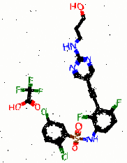 O=C(O)C(F)(F)F.O=S(=O)(Nc1ccc(F)c(C#Cc2cnc(NCCCO)nc2)c1F)c1cc(Cl)ccc1Cl